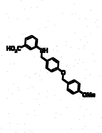 COc1ccc(COc2ccc(CNc3cccc(C(=O)O)c3)cc2)cc1